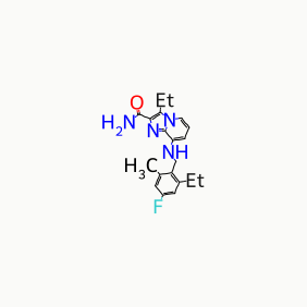 CCc1cc(F)cc(C)c1CNc1cccn2c(CC)c(C(N)=O)nc12